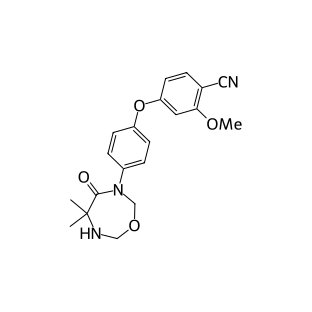 COc1cc(Oc2ccc(N3COCNC(C)(C)C3=O)cc2)ccc1C#N